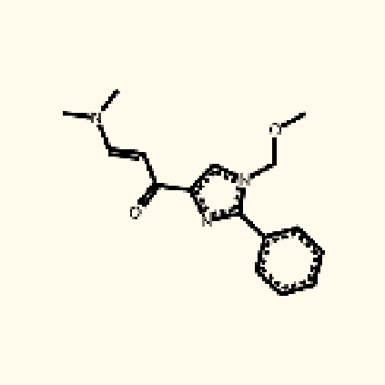 COCn1cc(C(=O)C=CN(C)C)nc1-c1ccccc1